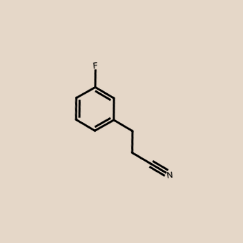 N#CCCc1cccc(F)c1